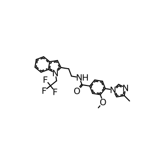 COc1cc(C(=O)NCCc2cc3ccccc3n2CC(F)(F)F)ccc1-n1cnc(C)c1